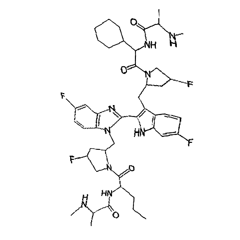 CCCC(NC(=O)C(C)NC)C(=O)N1CC(F)CC1Cn1c(-c2[nH]c3cc(F)ccc3c2CC2CC(F)CN2C(=O)C(NC(=O)C(C)NC)C2CCCCC2)nc2cc(F)ccc21